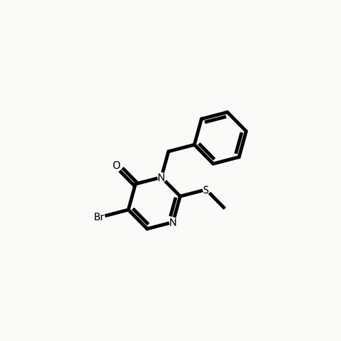 CSc1ncc(Br)c(=O)n1Cc1ccccc1